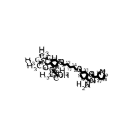 CC(C)N(C(=O)c1ccc(OCCCCCOc2ccc(/C(N)=N\C(=O)c3cccnc3)cc2)cc1OC(C)(C)C(=O)O)C(C)C